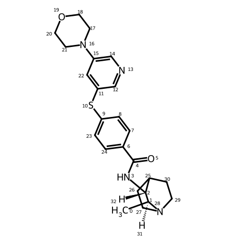 C[C@H]1[C@H](NC(=O)c2ccc(Sc3cncc(N4CCOCC4)c3)cc2)C2CCN1CC2